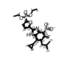 CCOP(=O)(OCC)c1ccc(-c2nc3c([N+](=O)[O-])c(F)c(CC(C)C)c(C4CC4)c3[nH]2)o1